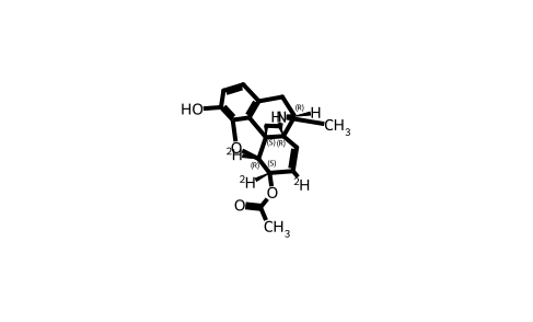 [2H]C1=C[C@H]2[C@H]3Cc4ccc(O)c5c4[C@@]2(CCN3C)[C@@]([2H])(O5)[C@@]1([2H])OC(C)=O